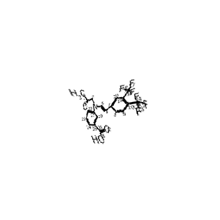 CC(=O)CN(C=Cc1ccc(C(F)(F)F)c(C(F)(F)F)c1)c1cccc(C(=O)O)c1